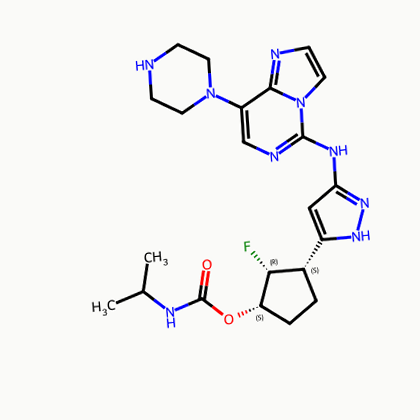 CC(C)NC(=O)O[C@H]1CC[C@@H](c2cc(Nc3ncc(N4CCNCC4)c4nccn34)n[nH]2)[C@H]1F